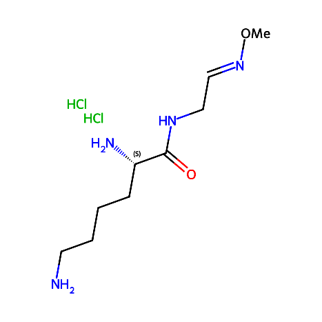 CON=CCNC(=O)[C@@H](N)CCCCN.Cl.Cl